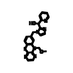 COCN1c2cc(Cn3ccnc3C(O)c3ccccn3)ccc2Sc2nccnc21